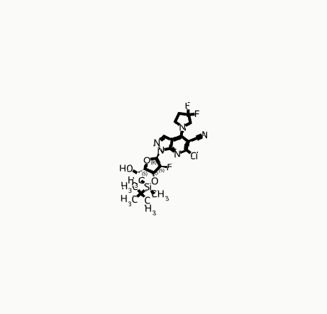 CC(C)(C)[Si](C)(C)O[C@H]1[C@H](F)[C@H](n2ncc3c(N4CCC(F)(F)C4)c(C#N)c(Cl)nc32)O[C@H]1CO